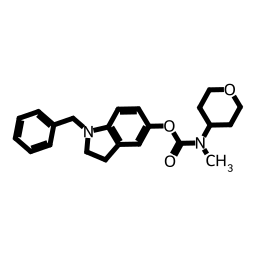 CN(C(=O)Oc1ccc2c(c1)CCN2Cc1ccccc1)C1CCOCC1